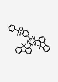 CC1(C)c2ccccc2-c2cccc(-c3nc(-c4ccc5oc(-c6ccccc6)nc5c4)nc(-c4cccc5c4C(C)(C)c4ccccc4-5)n3)c21